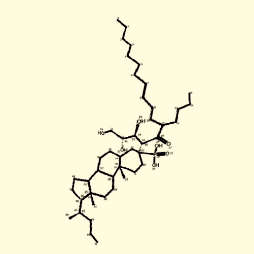 CCCCCCCCCCCC(CCCC)C(=O)[C@@H]([C@H](O)[C@H](O)CO)C1(P(=O)(O)O)CC[C@@]2(C)C(CCC3C2CC[C@@]2(C)C3CC[C@@H]2[C@H](C)CCC)C1